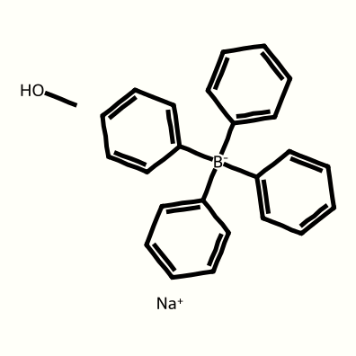 CO.[Na+].c1ccc([B-](c2ccccc2)(c2ccccc2)c2ccccc2)cc1